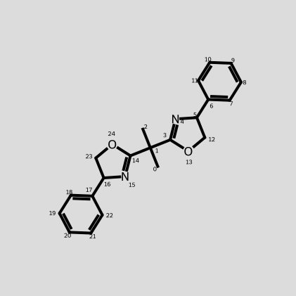 CC(C)(C1=NC(c2ccccc2)CO1)C1=NC(c2ccccc2)CO1